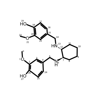 COc1cc(CN[C@@H]2CCCC[C@H]2NCc2ccc(O)c(OC)c2)ccc1O